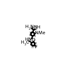 CNc1cc(C(=O)N[C@H](C)c2ccc(F)cc2)ccc1/C(C=N)=C/N